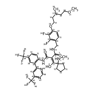 CNC1(/C(O)=C(\C(=O)NCc2ccc(OCCN(C)CCOC)c(F)c2F)C(=O)Nc2ccc(C(F)(F)F)cc2-c2cc(C(F)(F)F)ncn2)CCCC1